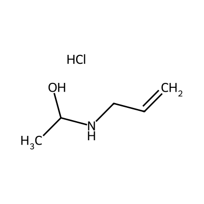 C=CCNC(C)O.Cl